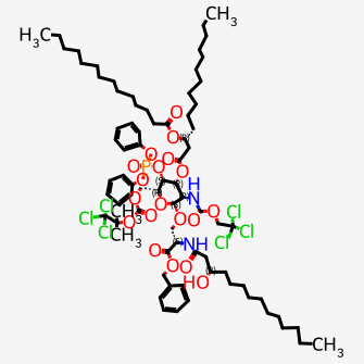 CCCCCCCCCCCCCC(=O)O[C@H](CCCCCCCCCCC)CC(=O)O[C@@H]1[C@@H](NC(=O)OCC(Cl)(Cl)Cl)[C@@H](OC[C@H](NC(=O)C[C@H](O)CCCCCCCCCCC)C(=O)OCc2ccccc2)O[C@H](COC(=O)OC(C)(C)C(Cl)(Cl)Cl)[C@H]1OP(=O)(Oc1ccccc1)Oc1ccccc1